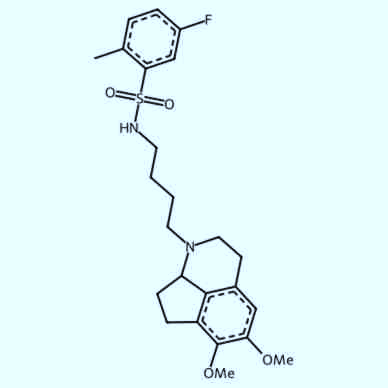 COc1cc2c3c(c1OC)CCC3N(CCCCNS(=O)(=O)c1cc(F)ccc1C)CC2